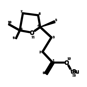 C=C(CC[C@@]1(C)CCC(C)(C)O1)OC(C)(C)C